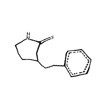 S=C1NCCC1Cc1ccccc1